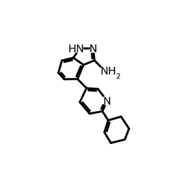 Nc1n[nH]c2cccc(-c3ccc(C4=CCCCC4)nc3)c12